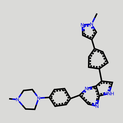 CN1CCN(c2ccc(-c3cnc4[nH]cc(-c5ccc(-c6cnn(C)c6)cc5)c4n3)cc2)CC1